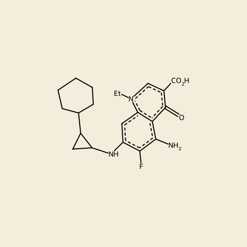 CCn1cc(C(=O)O)c(=O)c2c(N)c(F)c(NC3CC3C3CCCCC3)cc21